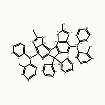 Cc1nc2c(N(c3ccccc3)c3ccccc3C)cc3c(c2o1)-c1c(cc(N(c2ccccc2)c2ccccc2C)c2nc(C)oc12)C3(c1ccccc1)c1ccccc1